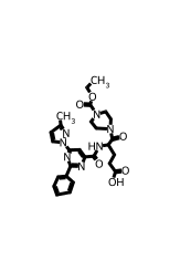 CCOC(=O)N1CCN(C(=O)C(CCC(=O)O)NC(=O)c2cc(-n3ccc(C)n3)nc(-c3ccccc3)n2)CC1